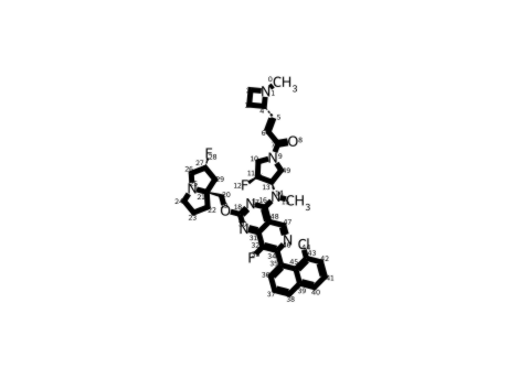 CN1CC[C@H]1C=CC(=O)N1C[C@H](F)[C@@H](N(C)c2nc(OC[C@@]34CCCN3C[C@H](F)C4)nc3c(F)c(-c4cccc5cccc(Cl)c45)ncc23)C1